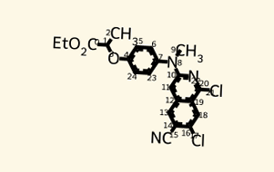 CCOC(=O)C(C)Oc1ccc(N(C)c2cc3cc(C#N)c(Cl)cc3c(Cl)n2)cc1